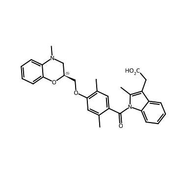 Cc1cc(C(=O)n2c(C)c(CC(=O)O)c3ccccc32)c(C)cc1OC[C@@H]1CN(C)c2ccccc2O1